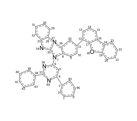 c1ccc(-c2cc(-n3c4ccc(-c5cccc6c5oc5ccccc56)cc4n4c5ccccc5nc34)nc(-c3ccccc3)n2)cc1